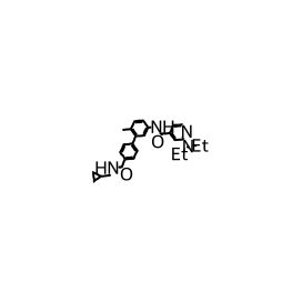 CCN(CC)c1cc(C(=O)Nc2ccc(C)c(-c3ccc(C(=O)NCC4CC4)cc3)c2)ccn1